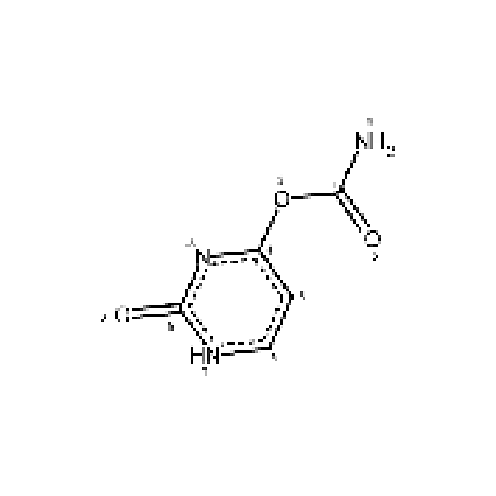 NC(=O)Oc1cc[nH]c(=O)n1